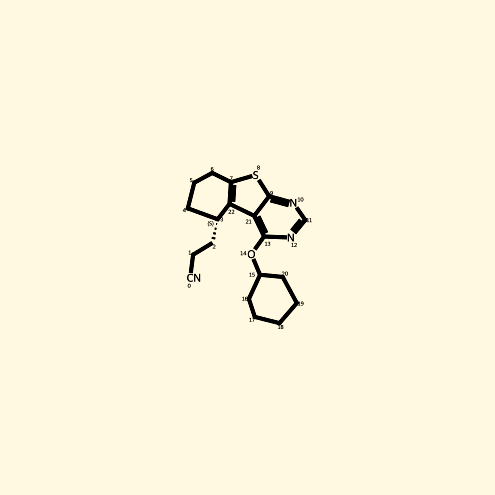 N#CCC[C@@H]1CCCc2sc3ncnc(OC4CCCCC4)c3c21